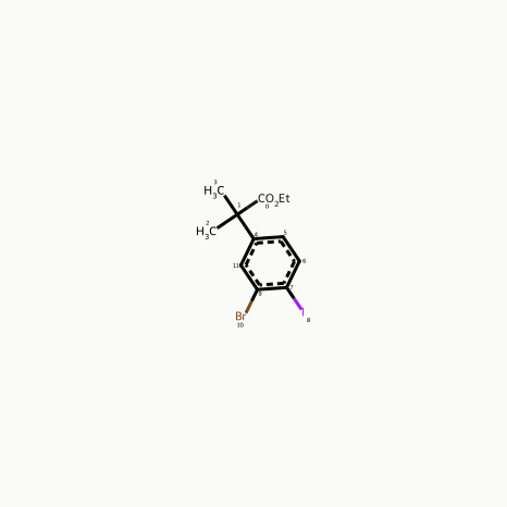 CCOC(=O)C(C)(C)c1ccc(I)c(Br)c1